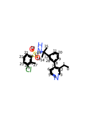 CCc1cnccc1-c1cccc(C(C)(C)NS(=O)(=O)c2cccc(Cl)c2C)c1